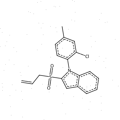 C=CCS(=O)(=O)c1cc2ccccc2n1-c1ccc(C)cc1Cl